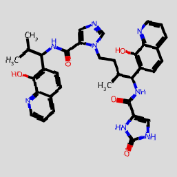 CC(C)C(NC(=O)c1cncn1CCC(C)C(NC(=O)c1c[nH]c(=O)[nH]1)c1ccc2cccnc2c1O)c1ccc2cccnc2c1O